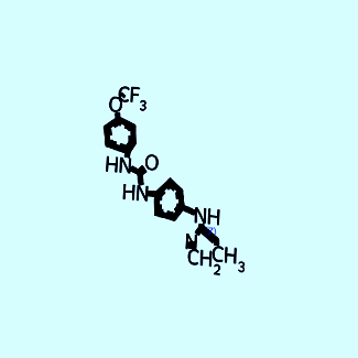 C=N/C(=C\C)Nc1ccc(NC(=O)Nc2ccc(OC(F)(F)F)cc2)cc1